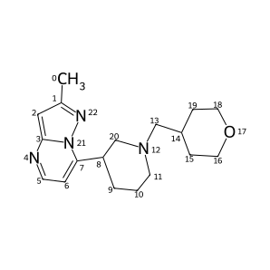 Cc1cc2nccc(C3CCCN(CC4CCOCC4)C3)n2n1